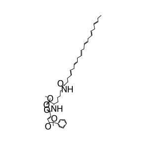 CCC=CCC=CCC=CCC=CCC=CCC=CCCC(=O)NCCCCC(NC(=O)C1=CC(=O)C(C)(c2ccccc2)O1)C(=O)OC